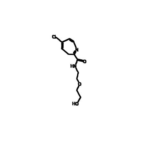 O=C(NCCOCCO)C1=NC=CC(Cl)=CC1